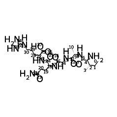 CC[C@H](C)[C@H](N)C(=O)N[C@@H](C)C(=O)NCC(=O)N[C@@H](CCC(N)=O)C(=O)N[C@@H](CCCNC(=N)N)C(=O)O